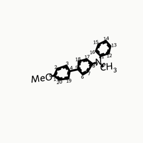 COc1ccc(-c2ccc(N(C)c3ccccc3)cc2)cc1